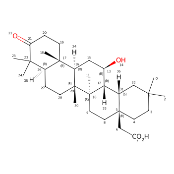 CC1(C)CC[C@]2(CC(=O)O)CC[C@]3(C)[C@H]([C@H](O)C[C@@H]4[C@@]5(C)CCC(=O)C(C)(C)[C@@H]5CC[C@]43C)[C@@H]2C1